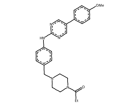 CCC(=O)N1CCN(Cc2ccc(Nc3ncc(-c4ccc(OC)cc4)cn3)cc2)CC1